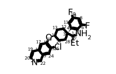 CC[C@H](N)[C@]1(c2cc(F)cc(F)c2)CC[C@H](Oc2cc3ccncc3cc2Cl)CC1